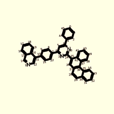 c1ccc(-c2cc(-c3ccc(-c4cncc5ccccc45)cc3)nc(-c3cc4ccc5ccccc5c4c4ccccc34)n2)cc1